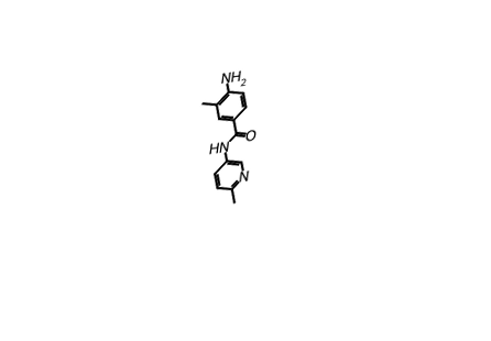 Cc1ccc(NC(=O)c2ccc(N)c(C)c2)cn1